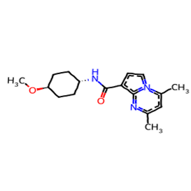 CO[C@H]1CC[C@H](NC(=O)c2ccn3c(C)cc(C)nc23)CC1